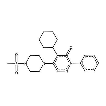 CS(=O)(=O)N1CCN(c2cnn(-c3ccccc3)c(=O)c2C2CCCCC2)CC1